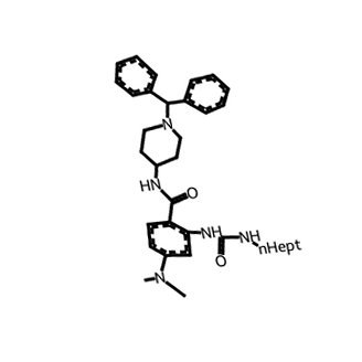 CCCCCCCNC(=O)Nc1cc(N(C)C)ccc1C(=O)NC1CCN(C(c2ccccc2)c2ccccc2)CC1